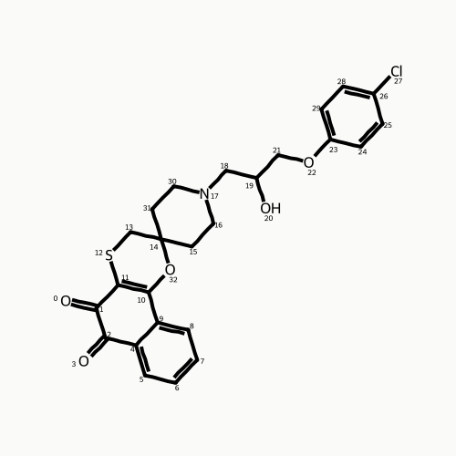 O=C1C(=O)c2ccccc2C2=C1SCC1(CCN(CC(O)COc3ccc(Cl)cc3)CC1)O2